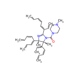 C=C/C=C\C=C(/C=C)C1=N[C@@](C)(C(/C=C\C=C)=C/C=C)[C@@](C)(C(/C=C\C=C)=C/C)N1C(=O)N1CCN(C)CC1